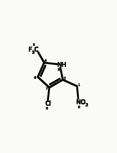 O=[N+]([O-])Cc1[nH]c(C(F)(F)F)cc1Cl